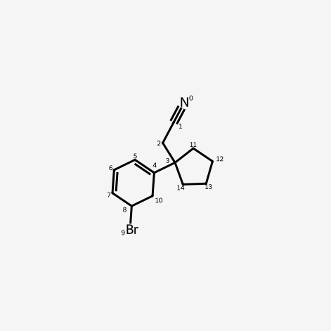 N#CCC1(C2=CC=CC(Br)C2)CCCC1